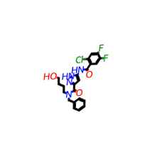 O=C(Nc1cc(C(=O)N(CCCCO)Cc2ccccc2)n[nH]1)c1cc(F)c(F)cc1Cl